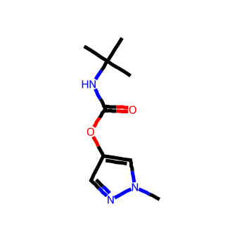 Cn1cc(OC(=O)NC(C)(C)C)cn1